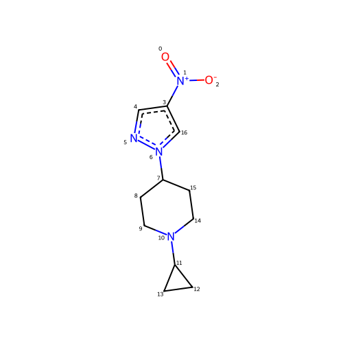 O=[N+]([O-])c1cnn(C2CCN(C3CC3)CC2)c1